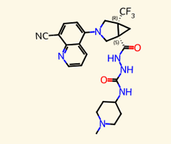 CN1CCC(NC(=O)NNC(=O)[C@]23CN(c4ccc(C#N)c5ncccc45)C[C@@]2(C(F)(F)F)C3)CC1